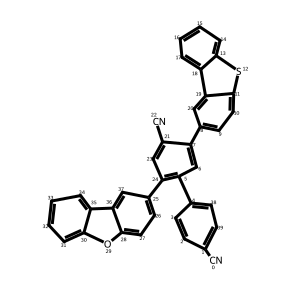 N#Cc1ccc(-c2cc(-c3ccc4sc5ccccc5c4c3)c(C#N)cc2-c2ccc3oc4ccccc4c3c2)cc1